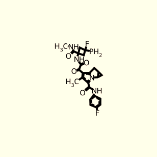 CNC(=O)C1(NC(=O)C(=O)c2c(C)c(C(=O)Nc3ccc(F)cc3)n3c2CC2CC23)CC(F)(P)C1